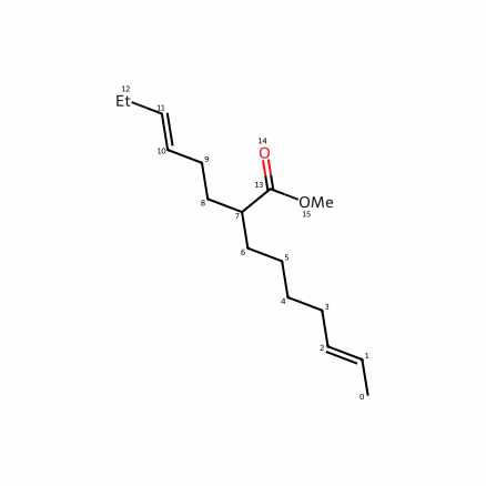 CC=CCCCCC(CCC=CCC)C(=O)OC